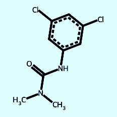 CN(C)C(=O)Nc1cc(Cl)cc(Cl)c1